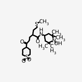 CSCCC(CCC(=O)C1CCS(=O)(=O)CC1)C(=O)NC1CC(C)(C)N(O)C(C)(C)C1